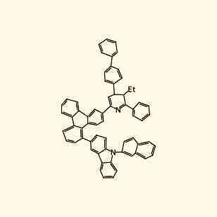 CCC1C(c2ccccc2)=NC(c2ccc3c(c2)c2ccccc2c2cccc(-c4ccc5c(c4)c4ccccc4n5-c4ccc5ccccc5c4)c23)=CC1c1ccc(-c2ccccc2)cc1